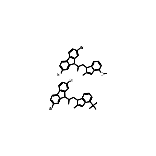 CC1=Cc2c(cccc2C(C)(C)C)C1CC(C)C1c2cc(Br)ccc2-c2ccc(Br)cc21.COc1cccc2c1C=C(C)C2CC(C)C1c2cc(Br)ccc2-c2ccc(Br)cc21